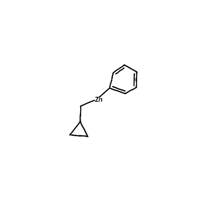 c1cc[c]([Zn][CH2]C2CC2)cc1